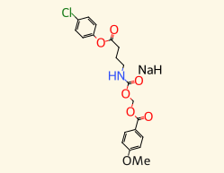 COc1ccc(C(=O)OCOC(=O)NCCCC(=O)Oc2ccc(Cl)cc2)cc1.[NaH]